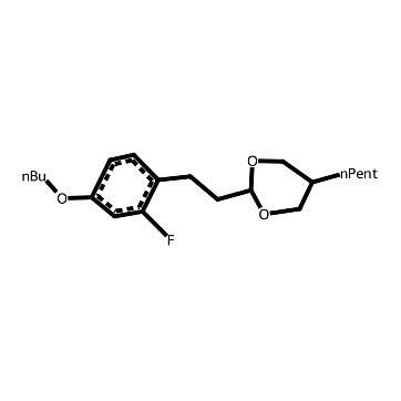 CCCCCC1COC(CCc2ccc(OCCCC)cc2F)OC1